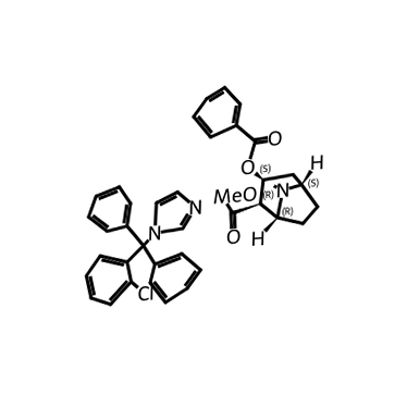 COC(=O)[C@H]1[C@@H](OC(=O)c2ccccc2)C[C@@H]2CC[C@H]1N2C.Clc1ccccc1C(c1ccccc1)(c1ccccc1)n1ccnc1